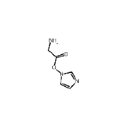 NCC(=O)On1ccnc1